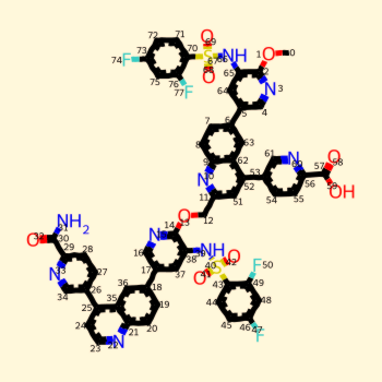 COc1ncc(-c2ccc3nc(COc4ncc(-c5ccc6nccc(-c7ccc(C(N)=O)nc7)c6c5)cc4NS(=O)(=O)c4ccc(F)cc4F)cc(-c4ccc(C(=O)O)nc4)c3c2)cc1NS(=O)(=O)c1ccc(F)cc1F